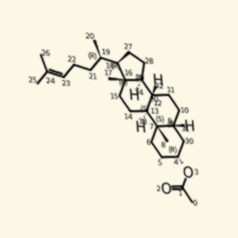 CC(=O)O[C@@H]1CC[C@@]2(C)[C@H](CC[C@@H]3[C@@H]2CC[C@]2(C)[C@@H]([C@H](C)CCC=C(C)C)CC[C@@H]32)C1